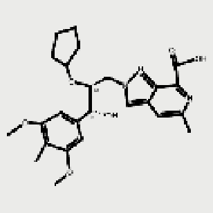 COc1cc([C@@H](O)[C@H](Cn2cc3cc(C)nc(C(=O)O)c3n2)OC2CCCC2)cc(OC)c1C